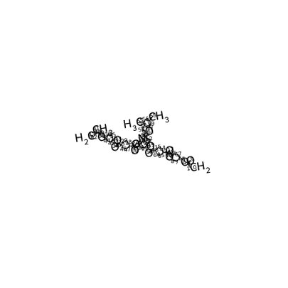 C=CC(=O)OCc1ccc(OC(=O)C2CCC(C(=O)Oc3ccc(OC(=O)C4CCC(C(=O)Oc5ccc(OCC(C)C=C)cc5)CC4)c4nc(-c5cc6c(C)cc(C)cc6o5)sc34)CC2)cc1